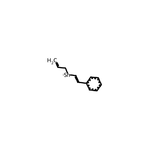 C=C[CH2][Sn][CH]=Cc1ccccc1